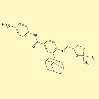 CC1(C)OCC(COc2ccc(C(=O)Nc3ccc(C(=O)O)cc3)cc2C23CC4CC(CC(C4)C2)C3)O1